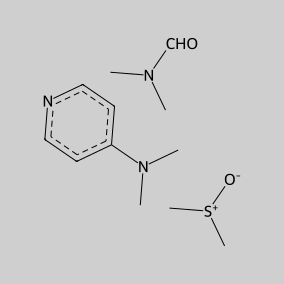 CN(C)C=O.CN(C)c1ccncc1.C[S+](C)[O-]